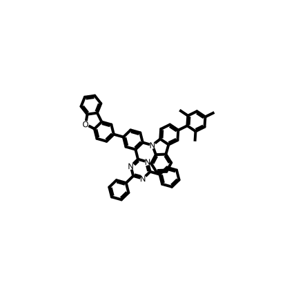 Cc1cc(C)c(-c2ccc3c(c2)c2ccccc2n3-c2ccc(-c3ccc4oc5ccccc5c4c3)cc2-c2nc(-c3ccccc3)nc(-c3ccccc3)n2)c(C)c1